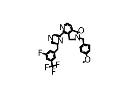 COc1ccc(CN2CCc3c(ccnc3-c3cncc(Cc4cc(F)cc(C(F)(F)F)c4)n3)C2=O)cc1